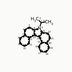 CC(C)n1c2ccc3ccccc3c2c2c3ccccc3ccc21